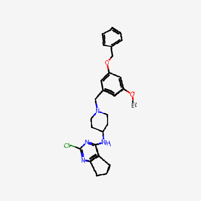 CCOc1cc(CN2CCC(Nc3nc(Cl)nc4c3CCC4)CC2)cc(OCc2ccccc2)c1